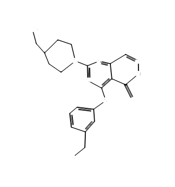 N#CCC1CCN(c2nc(Nc3cccc(CO)c3)c3c(=O)[nH]ncc3n2)CC1